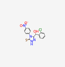 O=[N+]([O-])c1ccc(-n2c(C(O)c3ccccc3Cl)n[nH]c2=S)cc1